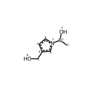 CB(O)n1ccc(CO)c1